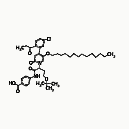 CCCCCCCCCCCCCCOc1cn(C(CCOC(C)(C)C)C(=O)Nc2ccc(C(=O)O)cc2)c(=O)cc1-c1cc(Cl)ccc1C(=O)CC